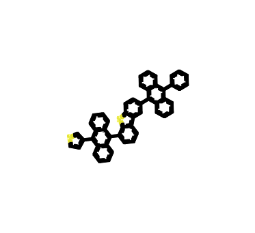 c1ccc(-c2c3ccccc3c(-c3ccc4sc5c(-c6c7ccccc7c(-c7ccsc7)c7ccccc67)cccc5c4c3)c3ccccc23)cc1